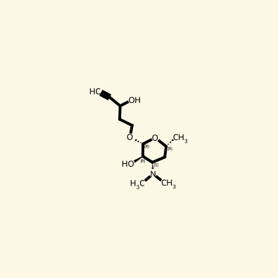 C#CC(O)CCO[C@@H]1O[C@H](C)C[C@H](N(C)C)[C@H]1O